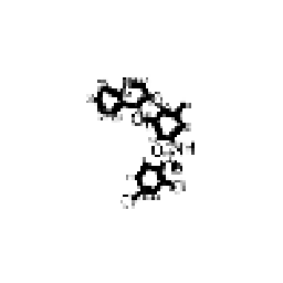 Cc1cc(NS(=O)(=O)c2ccc(Cl)cc2Cl)cc(Cl)c1Oc1cnc2ccccc2c1